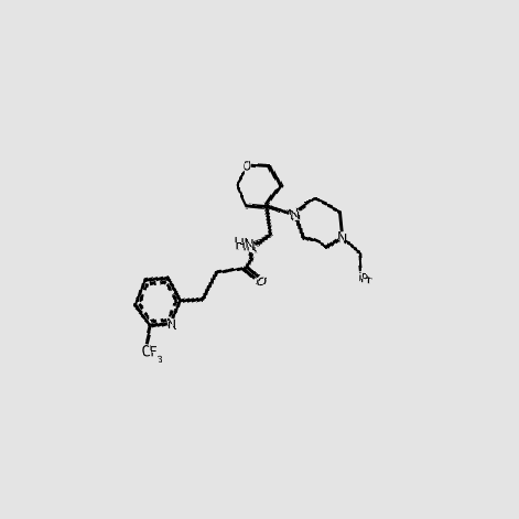 CC(C)CN1CCN(C2(CNC(=O)CCc3cccc(C(F)(F)F)n3)CCOCC2)CC1